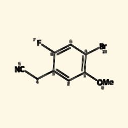 COc1cc(CC#N)c(F)cc1Br